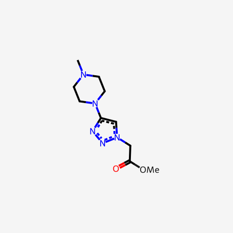 COC(=O)Cn1cc(N2CCN(C)CC2)nn1